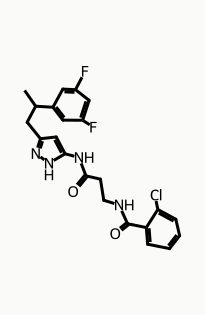 CC(Cc1cc(NC(=O)CCNC(=O)c2ccccc2Cl)[nH]n1)c1cc(F)cc(F)c1